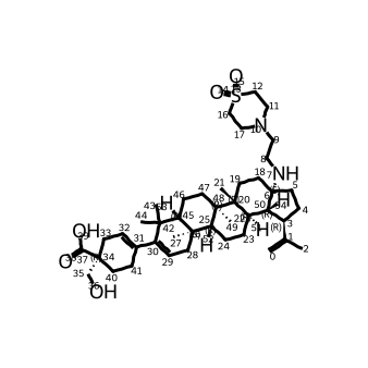 C=C(C)[C@@H]1CC[C@]2(NCCN3CCS(=O)(=O)CC3)CC[C@]3(C)[C@H](CC[C@@H]4[C@@]5(C)CC=C(C6=CC[C@](CO)(C(=O)O)CC6)C(C)(C)[C@@H]5CC[C@]43C)[C@@H]12